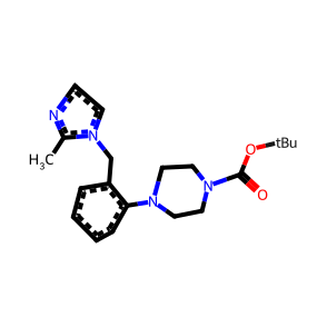 Cc1nccn1Cc1ccccc1N1CCN(C(=O)OC(C)(C)C)CC1